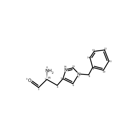 N[C@@H](C=O)Cc1cn(Cc2ccccc2)cn1